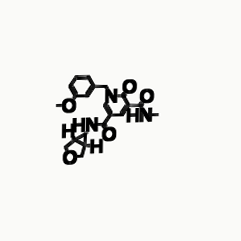 CNC(=O)c1cc(C(=O)N[C@@H]2[C@@H]3COC[C@@H]32)cn(Cc2cccc(OC)c2)c1=O